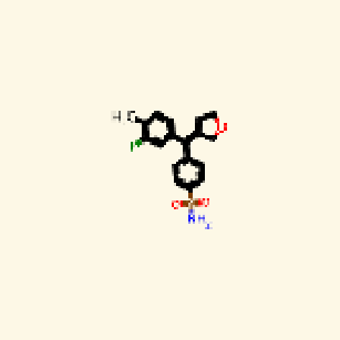 Cc1ccc(C(=C2CCOC2)c2ccc(S(N)(=O)=O)cc2)cc1F